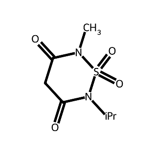 CC(C)N1C(=O)CC(=O)N(C)S1(=O)=O